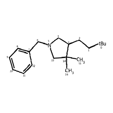 CC(C)(C)CCC1CN(Cc2ccccc2)CC1(C)C